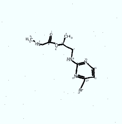 CNC(=O)O[C@@H](C)CNc1nccc(Br)n1